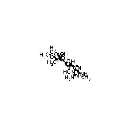 C#C[C@@]12C[C@@H](COP(O)(=S)N[C@@H](C)C(=O)OC(C)C)O[C@H]1C2n1cnc2c(NC)nc(N)nc21